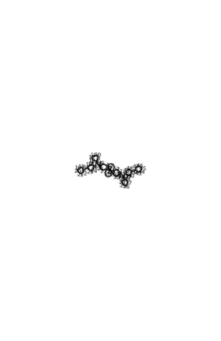 O=S(=O)(c1ccc(-n2c3ccccc3c3cc(-c4ccccc4)ccc32)cc1)c1ccc(-n2c3ccccc3c3cc(-c4ccccc4)ccc32)cc1